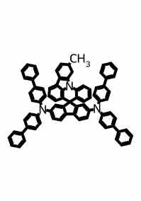 CC1C=Cc2c(n3c4c(cccc24)C2(c4cc(N(c5ccc(-c6ccccc6)cc5)c5ccc(-c6ccccc6)cc5)ccc4-c4ccc(N(c5ccc(-c6ccccc6)cc5)c5ccc(-c6ccccc6)cc5)cc42)c2ccccc2-3)C1